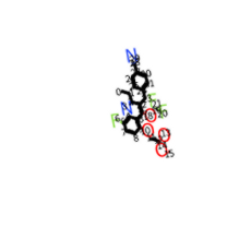 CCc1nc2c(F)ccc(OCC(=O)OC)c2c(OC(F)F)c1Cc1ccc(C#N)cc1